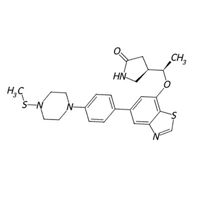 CSN1CCN(c2ccc(-c3cc(O[C@H](C)[C@H]4CNC(=O)C4)c4scnc4c3)cc2)CC1